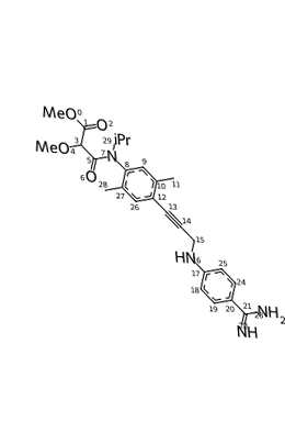 COC(=O)C(OC)C(=O)N(c1cc(C)c(C#CCNc2ccc(C(=N)N)cc2)cc1C)C(C)C